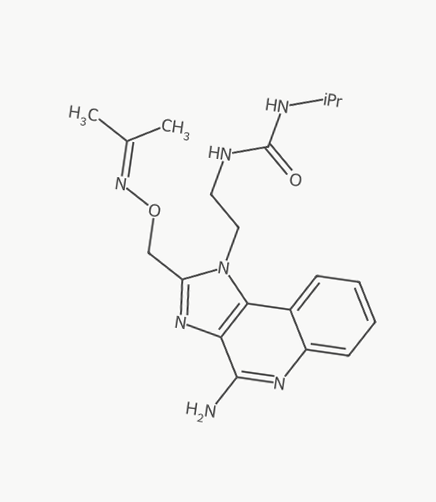 CC(C)=NOCc1nc2c(N)nc3ccccc3c2n1CCNC(=O)NC(C)C